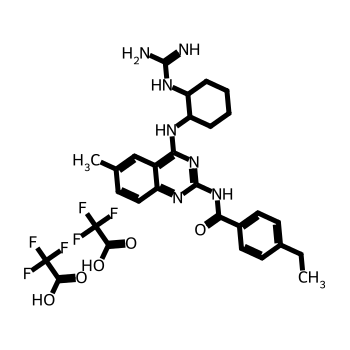 CCc1ccc(C(=O)Nc2nc(NC3CCCCC3NC(=N)N)c3cc(C)ccc3n2)cc1.O=C(O)C(F)(F)F.O=C(O)C(F)(F)F